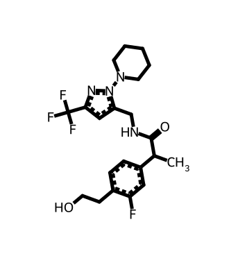 CC(C(=O)NCc1cc(C(F)(F)F)nn1N1CCCCC1)c1ccc(CCO)c(F)c1